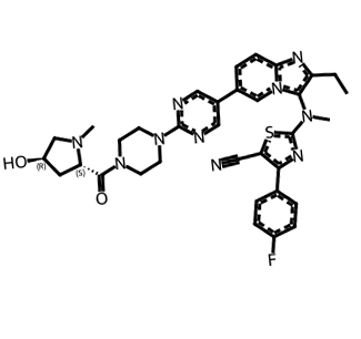 CCc1nc2ccc(-c3cnc(N4CCN(C(=O)[C@@H]5C[C@@H](O)CN5C)CC4)nc3)cn2c1N(C)c1nc(-c2ccc(F)cc2)c(C#N)s1